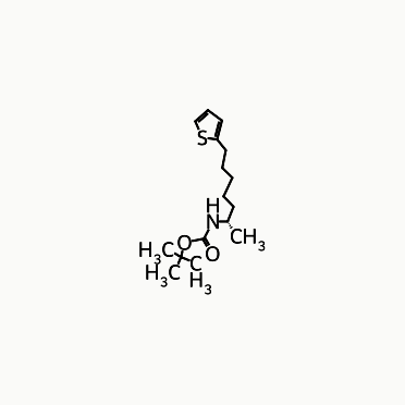 C[C@@H](CCCCCc1cccs1)NC(=O)OC(C)(C)C